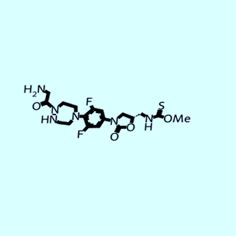 COC(=S)NC[C@H]1CN(c2cc(F)c(N3CCNN(C(=O)CN)CC3)c(F)c2)C(=O)O1